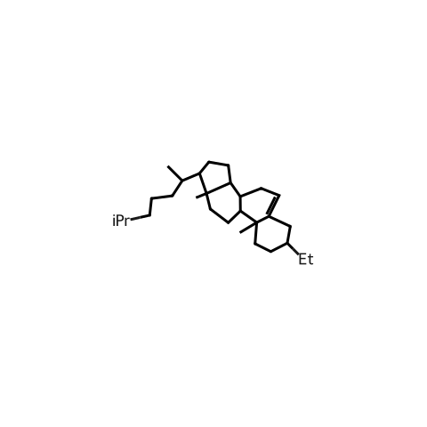 CCC1CCC2(C)C(=CCC3C2CCC2(C)C(C(C)CCCC(C)C)CCC32)C1